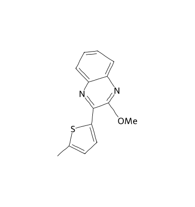 COc1nc2ccccc2nc1-c1ccc(C)s1